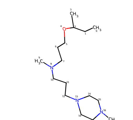 CCC(C)OCCCN(C)CCCN1CCN(C)CC1